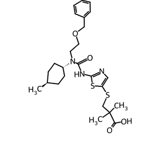 CC(C)(CSc1cnc(NC(=O)N(CCOCc2ccccc2)[C@H]2CC[C@H](C)CC2)s1)C(=O)O